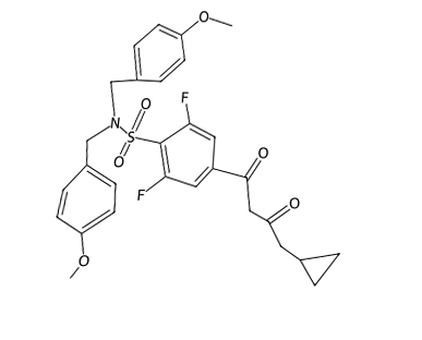 COc1ccc(CN(Cc2ccc(OC)cc2)S(=O)(=O)c2c(F)cc(C(=O)CC(=O)CC3CC3)cc2F)cc1